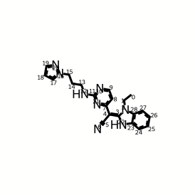 CCN1C(=C(C#N)c2ccnc(NCCCn3cccn3)n2)Nc2ccccc21